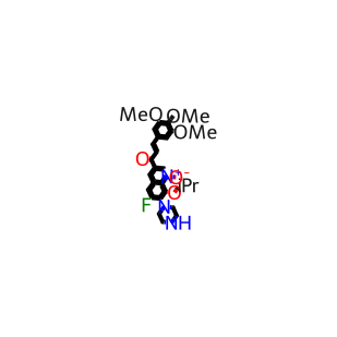 COc1cc(C=CC(=O)c2cc3cc(F)c(N4CCNCC4)c(OC(C)C)c3[n+]([O-])c2)cc(OC)c1OC